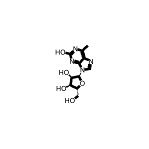 Cc1nc(O)nc2c1ncn2[C@@H]1O[C@H](CO)[C@@H](O)[C@H]1O